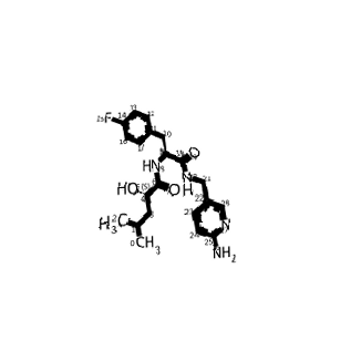 CC(C)C[C@H](O)C(=O)N[C@@H](Cc1ccc(F)cc1)C(=O)NCc1ccc(N)nc1